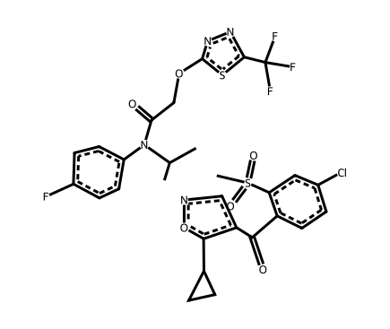 CC(C)N(C(=O)COc1nnc(C(F)(F)F)s1)c1ccc(F)cc1.CS(=O)(=O)c1cc(Cl)ccc1C(=O)c1cnoc1C1CC1